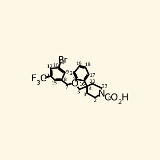 O=C(O)N1CCC(COCc2cc(Br)cc(C(F)(F)F)c2)(c2ccccc2)CC1